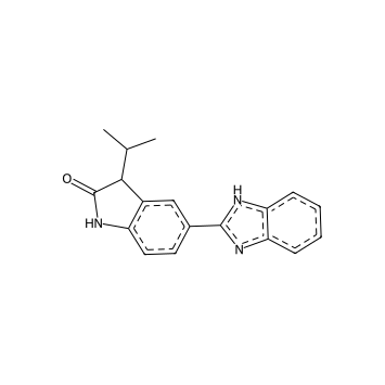 CC(C)C1C(=O)Nc2ccc(-c3nc4ccccc4[nH]3)cc21